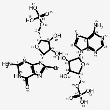 Nc1nc2c(nc(Br)n2[C@@H]2O[C@H](COP(=O)(O)O)[C@@H](O)[C@H]2O)c(=O)[nH]1.Nc1ncnc2c1ncn2[C@@H]1O[C@H](COP(=O)(O)O)[C@@H](O)[C@H]1O